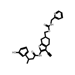 C#Cc1c(NC(=O)CC(C)c2cccc(O)c2)sc2c1CCC(COC(=O)NCc1ccccn1)C2